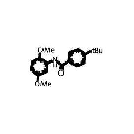 COc1ccc(OC)c(NC(=O)c2ccc(C(C)(C)C)cc2)c1